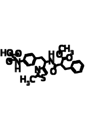 COC(=O)C(Cc1ccccc1)C(=O)NC(Cc1ccc(NS(=O)(=O)O)cc1)c1csc(C)n1